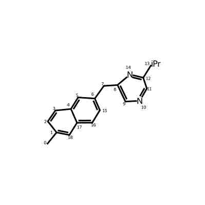 Cc1ccc2cc(Cc3cncc(C(C)C)n3)ccc2c1